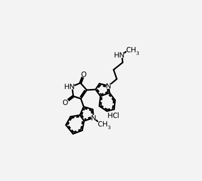 CNCCCn1cc(C2=C(c3cn(C)c4ccccc34)C(=O)NC2=O)c2ccccc21.Cl